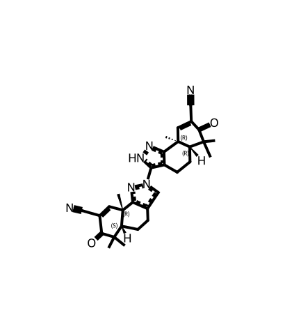 CC1(C)C(=O)C(C#N)=C[C@]2(C)c3nn(-c4[nH]nc5c4CC[C@H]4C(C)(C)C(=O)C(C#N)=C[C@]54C)cc3CC[C@H]12